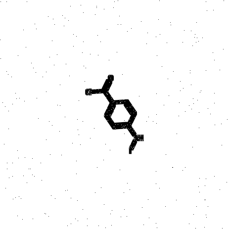 O=C(Cl)c1ccc(NI)cc1